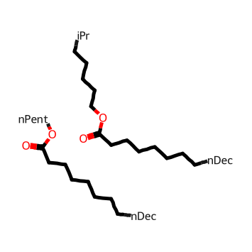 CCCCCCCCCCCCCCCCCC(=O)OCCCCC.CCCCCCCCCCCCCCCCCC(=O)OCCCCCC(C)C